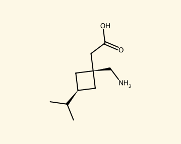 CC(C)[C@H]1C[C@](CN)(CC(=O)O)C1